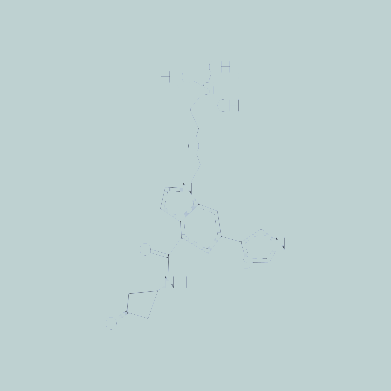 C[Si](C)(C)CCOCn1ccc2c(C(=O)NC3CC(=O)C3)cc(-c3cncs3)cc21